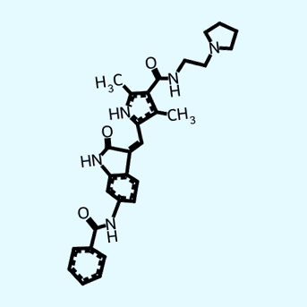 Cc1[nH]c(C=C2C(=O)Nc3cc(NC(=O)c4ccccc4)ccc32)c(C)c1C(=O)NCCN1CCCC1